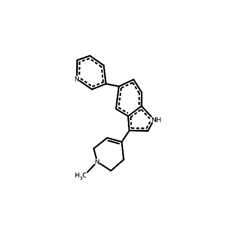 CN1CC=C(c2c[nH]c3ccc(-c4cccnc4)cc23)CC1